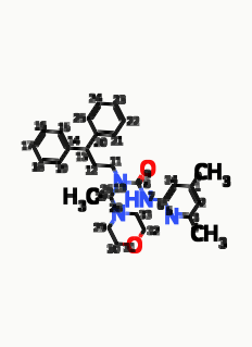 Cc1cc(C)nc(NC(=O)N(CCC(c2ccccc2)c2ccccc2)C(C)N2CCOCC2)c1